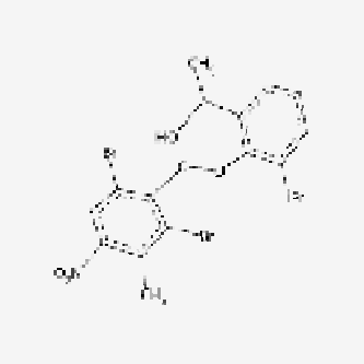 Cc1c([N+](=O)[O-])cc(Br)c(OOc2c(C(C)C)cccc2C(C)O)c1Br